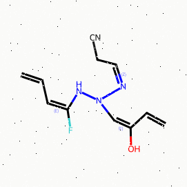 C=C/C=C(/F)NN(/C=C(/O)C=C)/N=C\CC#N